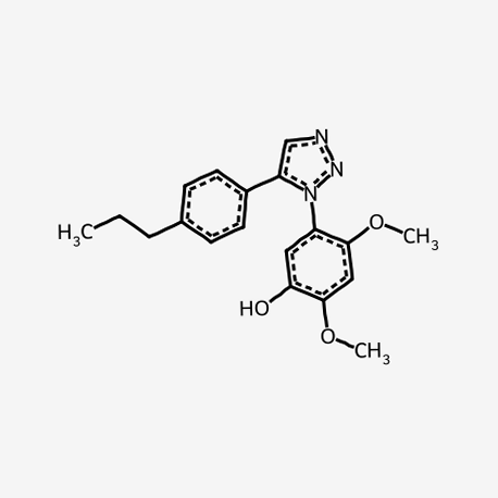 CCCc1ccc(-c2cnnn2-c2cc(O)c(OC)cc2OC)cc1